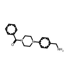 NCc1ccc(N2CCN(C(=O)c3ccccc3)CC2)cc1